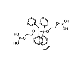 C=CC.OP(O)OCCOC(Cc1ccccc1)(c1ccccc1)C(OCCOP(O)O)(c1ccccc1)c1ccccc1